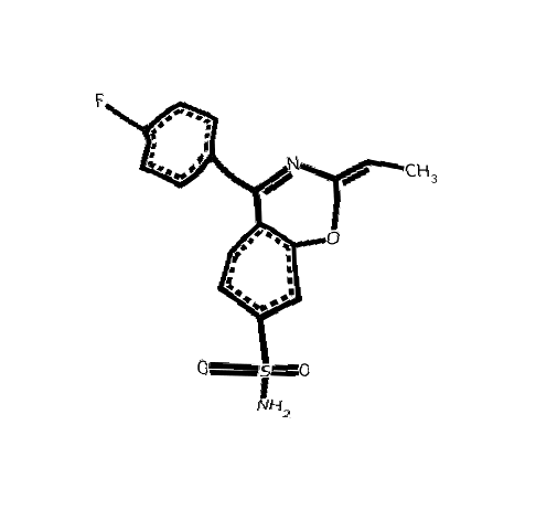 C/C=C1/N=C(c2ccc(F)cc2)c2ccc(S(N)(=O)=O)cc2O1